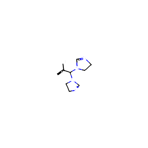 C=C([SiH3])C(N1C=NCC1)N1C=NCC1